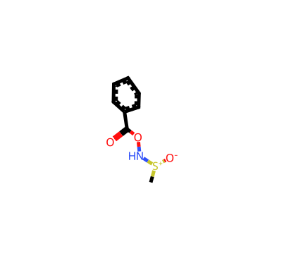 C[S+]([O-])NOC(=O)c1ccccc1